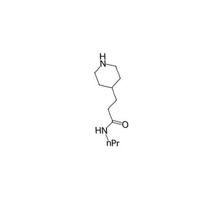 CCCNC(=O)CCC1CCNCC1